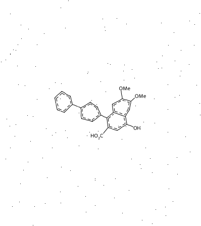 COc1cc2c(O)cc(C(=O)O)c(-c3ccc(-c4ccccc4)cc3)c2cc1OC